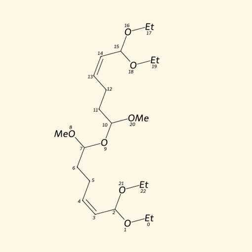 CCOC(/C=C\CCC(OC)OC(CC/C=C\C(OCC)OCC)OC)OCC